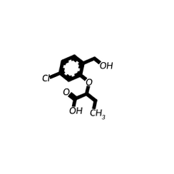 CCC(Oc1cc(Cl)ccc1CO)C(=O)O